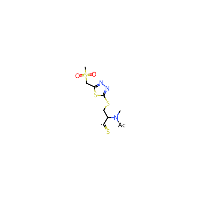 CC(=O)N(C)C([C]=S)CSc1nnc(CS(C)(=O)=O)s1